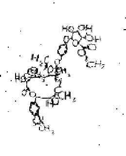 C=CCOC(=O)[C@H]1O[C@@H](Oc2ccc(COC(=O)O[C@H]3[C@@H](C)CCC[C@@]4(C)O[C@H]4C[C@@H](c4ccc5sc(C)nc5c4)OC(=O)C[C@H](O)C(C)(C)C(=O)[C@@H]3CC=C)cc2)[C@H](O)[C@@H](O)[C@@H]1O